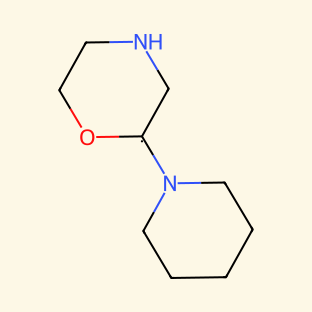 C1CCN([C]2CNCCO2)CC1